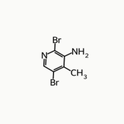 Cc1c(Br)cnc(Br)c1N